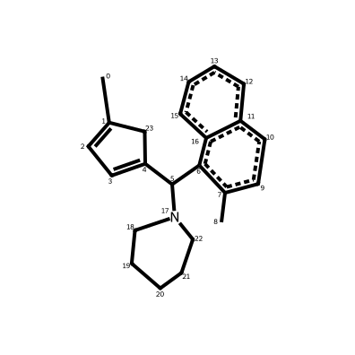 CC1=CC=C(C(c2c(C)ccc3ccccc23)N2CCCCC2)C1